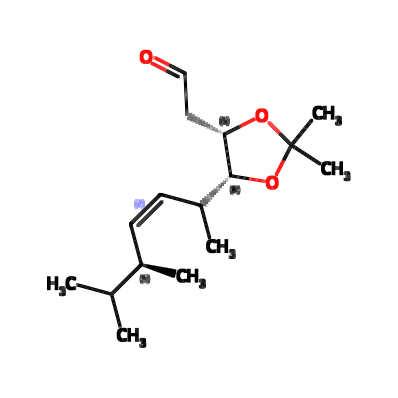 CC(C)[C@H](C)/C=C\C(C)[C@H]1OC(C)(C)O[C@H]1CC=O